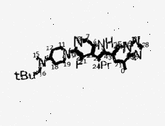 Cc1cc(-c2[nH]c3cnc(N4CCC(N(C)CC(C)(C)C)CC4)c(F)c3c2C(C)C)cn2ncnc12